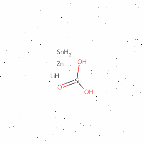 O=[Si](O)O.[LiH].[SnH2].[Zn]